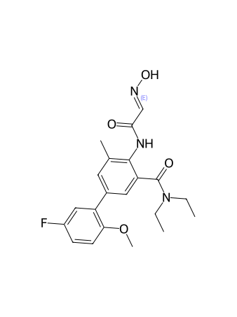 CCN(CC)C(=O)c1cc(-c2cc(F)ccc2OC)cc(C)c1NC(=O)/C=N/O